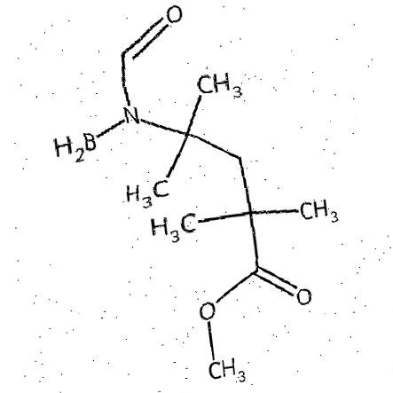 BN(C=O)C(C)(C)CC(C)(C)C(=O)OC